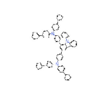 c1ccc(-c2ccc(N(c3ccc(-c4ccccc4)cc3)c3ccc(-c4cc(-c5ccc(N(c6ccc(-c7ccccc7)cc6)c6ccc(-c7ccccc7)cc6)cc5)c5c(c4)c4ccccc4n5-c4ccccc4)cc3)cc2)cc1